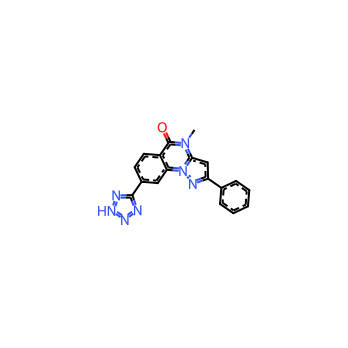 Cn1c(=O)c2ccc(-c3nn[nH]n3)cc2n2nc(-c3ccccc3)cc12